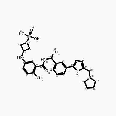 Cc1ccc(NC2CN(P(=O)(O)O)C2)cc1C(=O)NC(C)c1cccc(-c2ccc(CN3CCCC3)s2)c1